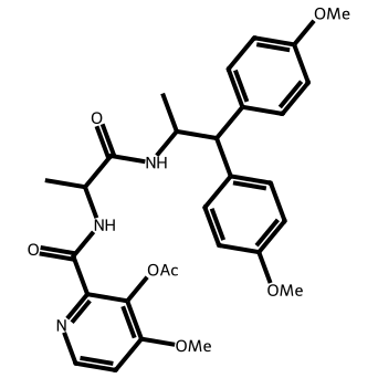 COc1ccc(C(c2ccc(OC)cc2)C(C)NC(=O)C(C)NC(=O)c2nccc(OC)c2OC(C)=O)cc1